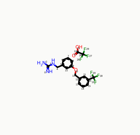 N=C(N)NCc1cccc(OCc2cccc(C(F)(F)F)c2)c1.O=C(O)C(F)(F)F